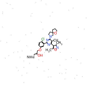 CNC[C@@H](O)COc1ccc(Cl)c(-c2nc(-c3c(C)noc3C)c(C)c(N3CCC4(CCCO4)C3)n2)c1